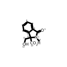 CN1C(=O)c2ccccc2C1(CO)C(=O)O